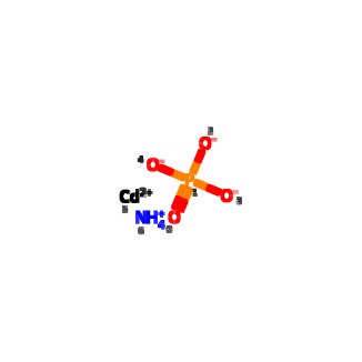 O=P([O-])([O-])[O-].[Cd+2].[NH4+]